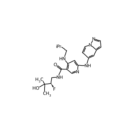 CC(C)CNc1cc(Nc2ccn3nccc3c2)ncc1C(=O)NC[C@@H](F)C(C)(C)O